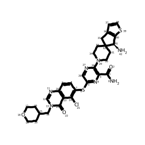 NC(=O)c1nc(Sc2ccc3ncn(CC4CCOCC4)c(=O)c3c2Cl)cnc1N1CCC2(CC1)Cc1ccsc1[C@H]2N